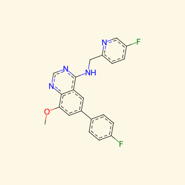 COc1cc(-c2ccc(F)cc2)cc2c(NCc3ccc(F)cn3)ncnc12